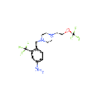 Nc1ccc(CN2CCN(CCOC(F)(F)F)CC2)c(C(F)(F)F)c1